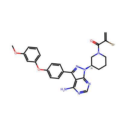 C=C(Br)C(=O)N1CCC[C@@H](n2nc(-c3ccc(Oc4cccc(OC)c4)cc3)c3c(N)ncnc32)C1